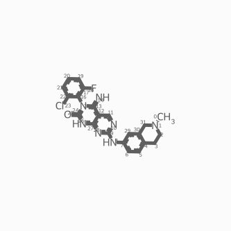 CN1CCc2ccc(Nc3ncc4c(=N)n(-c5c(F)cccc5Cl)c(=O)[nH]c4n3)cc2C1